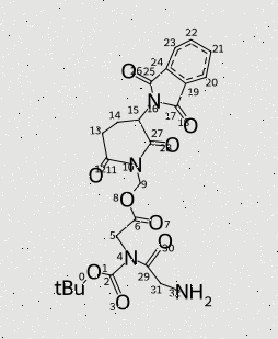 CC(C)(C)OC(=O)N(CC(=O)OCN1C(=O)CCC(N2C(=O)c3ccccc3C2=O)C1=O)C(=O)CN